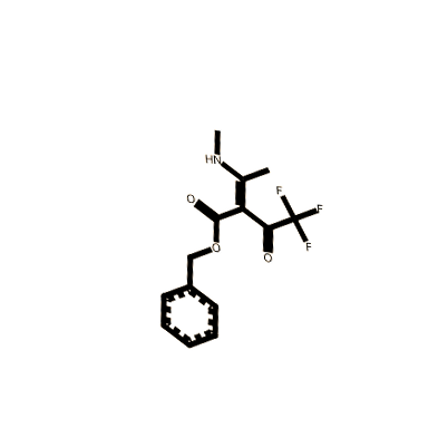 CN/C(C)=C(\C(=O)OCc1ccccc1)C(=O)C(F)(F)F